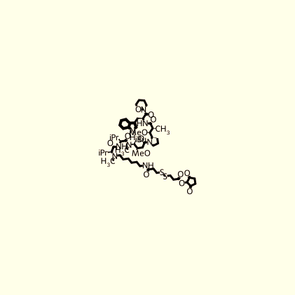 CC[C@H](C)[C@@H]([C@@H](CC(=O)N1CCC[C@H]1[C@H](OC)[C@@H](C)C(=O)N[C@@H](Cc1c[nH]c2ccccc12)C(=O)N1CCCCO1)OC)N(C)C(=O)[C@@H](NC(=O)[C@H](C(C)C)N(C)CCCCCCNC(=O)CCSSCCC(=O)OC1C(=O)CCC1=O)C(C)C